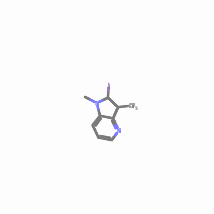 CN1c2cccnc2C(C(F)(F)F)C1I